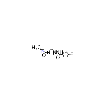 C/C=C/C(=O)N1CCN(NC(=O)c2ccc(F)cc2)CC1